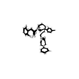 Cc1ccc([C@@]2(CCN3CCN(C4CCCCC4)CC3)CCCN(C(=O)Cc3c(F)cccc3Cl)C2)cc1